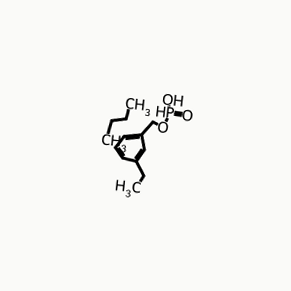 CCCC.CCc1cccc(CO[PH](=O)O)c1